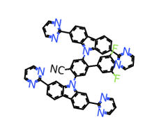 N#Cc1cc(-n2c3cc(-c4ncccn4)ccc3c3ccc(-c4ncccn4)cc32)c(-c2cc(F)cc(F)c2)cc1-n1c2cc(-c3ncccn3)ccc2c2ccc(-c3ncccn3)cc21